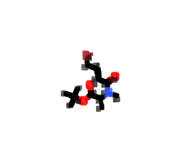 C[C@@H](C(=O)OC(C)(C)C)N(C)C(=O)/C=C/CBr